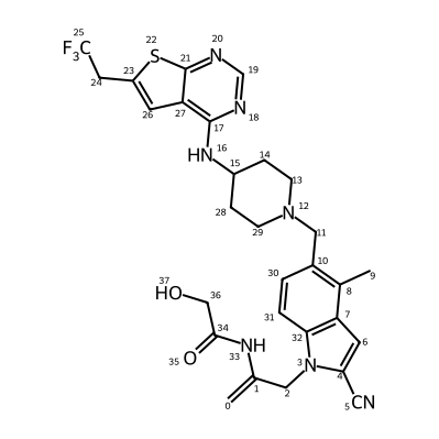 C=C(Cn1c(C#N)cc2c(C)c(CN3CCC(Nc4ncnc5sc(CC(F)(F)F)cc45)CC3)ccc21)NC(=O)CO